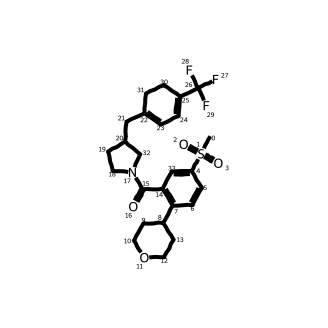 CS(=O)(=O)c1ccc(C2CCOCC2)c(C(=O)N2CCC(CC3=CC=C(C(F)(F)F)CC3)C2)c1